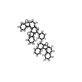 c1cc(-c2cc3ccccc3c3c2oc2ccc4ccccc4c23)cc(-c2nc3ccc4oc5ccccc5c4c3c3oc4ccccc4c23)c1